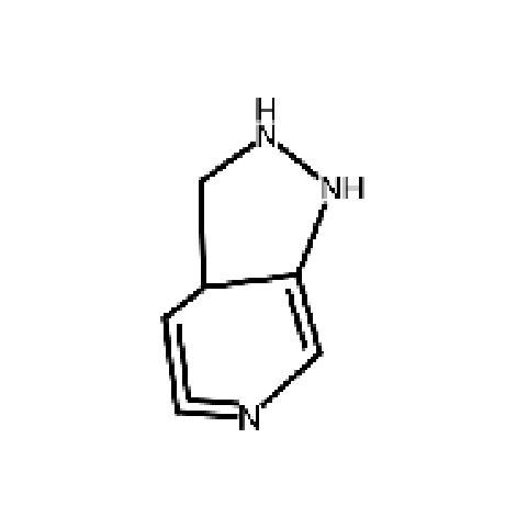 C1=CC2CNNC2=CN=1